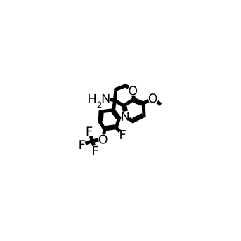 COc1ccnc2c1OCCC2(N)c1ccc(OC(F)(F)F)c(F)c1